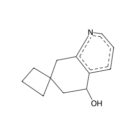 OC1CC2(CCC2)Cc2ncccc21